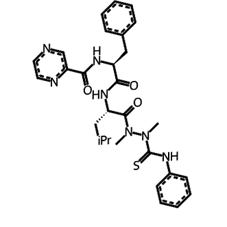 CC(C)C[C@H](NC(=O)[C@H](Cc1ccccc1)NC(=O)c1cnccn1)C(=O)N(C)N(C)C(=S)Nc1ccccc1